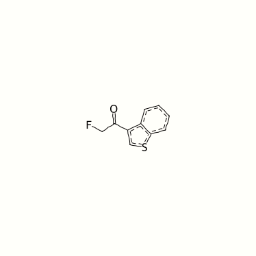 O=C(CF)c1csc2ccccc12